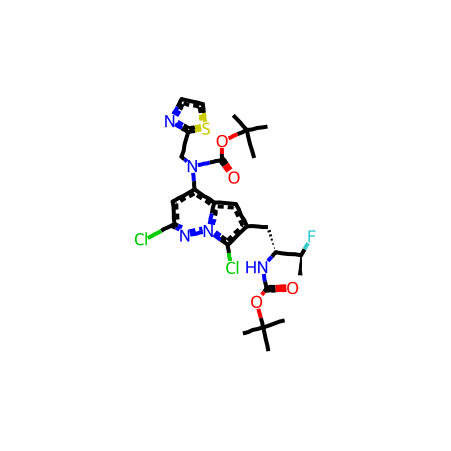 C[C@H](F)[C@@H](Cc1cc2c(N(Cc3nccs3)C(=O)OC(C)(C)C)cc(Cl)nn2c1Cl)NC(=O)OC(C)(C)C